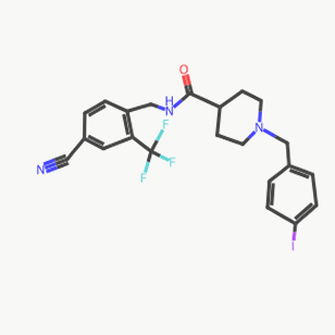 N#Cc1ccc(CNC(=O)C2CCN(Cc3ccc(I)cc3)CC2)c(C(F)(F)F)c1